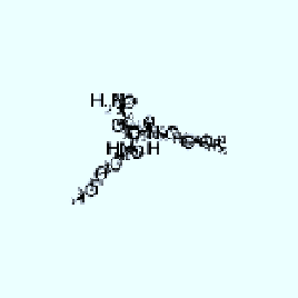 C=CCOCCOCCOCCNC(=O)c1cc(C(=O)/C=C/C(N)=O)cc(C(=O)NCCOCCOCCOCC(=C)C)c1